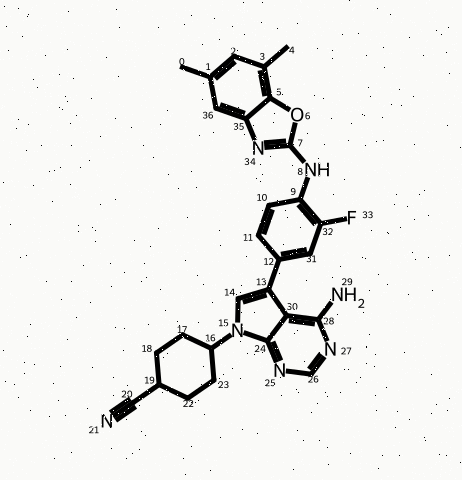 Cc1cc(C)c2oc(Nc3ccc(-c4cn(C5CCC(C#N)CC5)c5ncnc(N)c45)cc3F)nc2c1